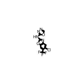 FC(F)(F)c1cc2oc(Nc3nnco3)nc2cc1Cl